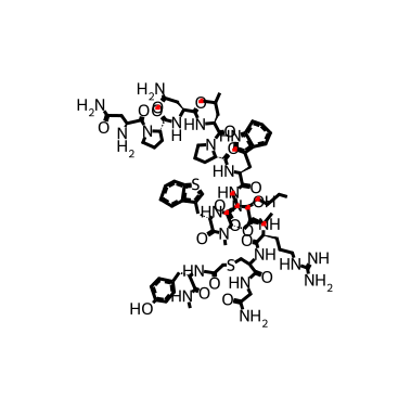 CCCC[C@@H](C(=O)N(C)[C@@H](CCCC)C(=O)N[C@@H](CCCNC(=N)N)C(=O)NC(CSCC(=O)N[C@@H](Cc1ccc(O)cc1)C(=O)NC)C(=O)NCC(N)=O)N(C)C(=O)[C@H](Cc1csc2ccccc12)NC(=O)[C@H](CO)NC(=O)[C@H](Cc1c[nH]c2ccccc12)NC(=O)[C@@H]1CCCN1C(=O)[C@H](CC(C)C)NC(=O)[C@H](CC(N)=O)NC(=O)[C@@H]1CCCN1C(=O)[C@@H](N)CC(N)=O